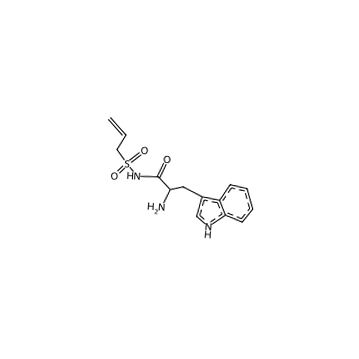 C=CCS(=O)(=O)NC(=O)C(N)Cc1c[nH]c2ccccc12